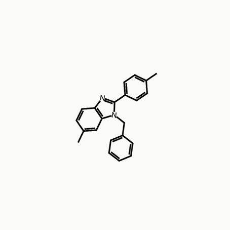 Cc1ccc(-c2nc3ccc(C)cc3n2Cc2ccccc2)cc1